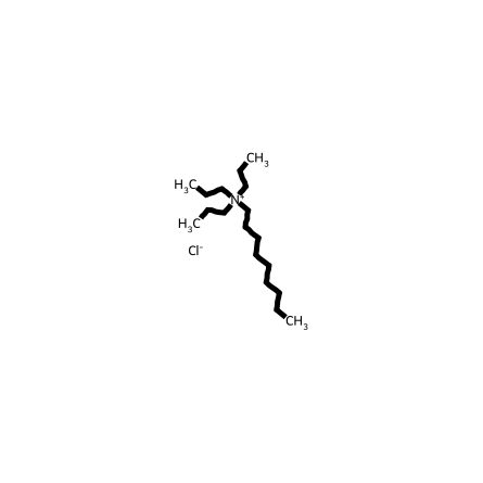 CCCCCCCCC[N+](CCC)(CCC)CCC.[Cl-]